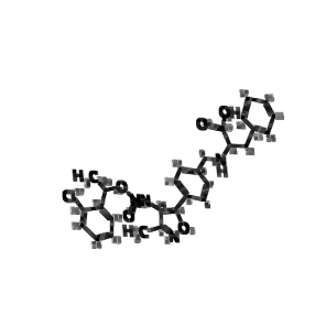 Cc1noc(-c2ccc(CNC(Cc3ccccc3)C(=O)O)cc2)c1NC(=O)OC(C)c1ccccc1Cl